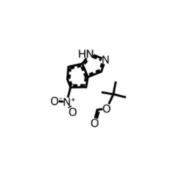 CC(C)(C)OC=O.O=[N+]([O-])c1ccc2[nH]ncc2c1